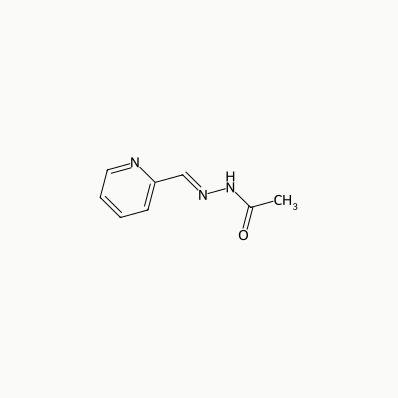 CC(=O)NN=Cc1ccccn1